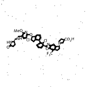 COc1nc(O[C@H]2CCc3c(-c4cccc(-c5nc6cc7c(c(C(F)(F)F)c6o5)CC[C@H]7N5CC[C@@H](C(=O)O)C5)c4Cl)cccc32)c(Cl)cc1CNC[C@H]1CCC(=O)N1